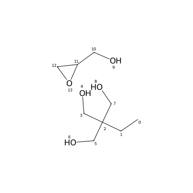 CCC(CO)(CO)CO.OCC1CO1